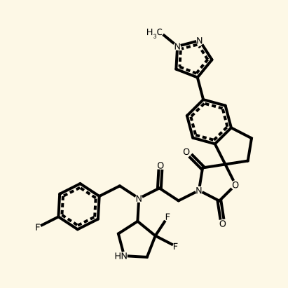 Cn1cc(-c2ccc3c(c2)CCC32OC(=O)N(CC(=O)N(Cc3ccc(F)cc3)C3CNCC3(F)F)C2=O)cn1